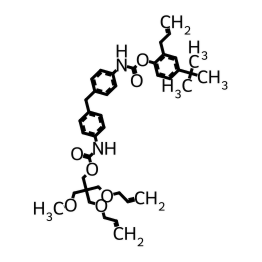 C=CCOCC(COC)(COCC=C)COC(=O)Nc1ccc(Cc2ccc(NC(=O)Oc3ccc(C(C)(C)C)cc3CC=C)cc2)cc1